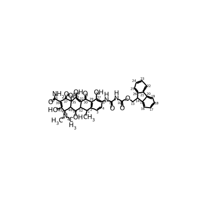 CC1c2ccc(NC(=O)NC(=O)OCC3c4ccccc4-c4ccccc43)c(O)c2C(=O)C2=C(O)C3(O)C(=O)C(C(N)=O)=C(O)C(N(C)C)C3C(O)C21